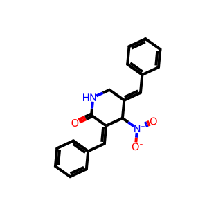 O=C1NCC(=Cc2ccccc2)C([N+](=O)[O-])C1=Cc1ccccc1